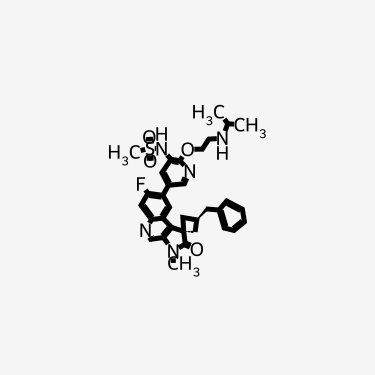 CC(C)NCCOc1ncc(-c2cc3c(cc2F)ncc2c3[C@]3(C[C@H](Cc4ccccc4)C3)C(=O)N2C)cc1NS(C)(=O)=O